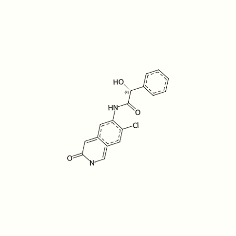 O=C1C=c2cc(NC(=O)[C@H](O)c3ccccc3)c(Cl)cc2=C[N]1